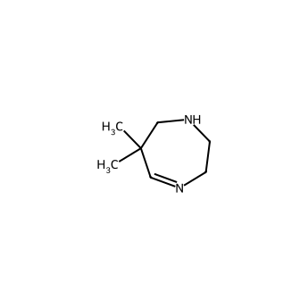 CC1(C)C=NCCNC1